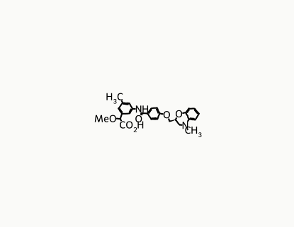 COC(C(=O)O)c1cc(C)cc(NC(=O)c2ccc(OC[C@@H]3CN(C)c4ccccc4O3)cc2)c1